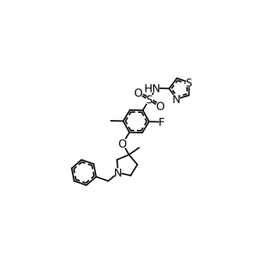 Cc1cc(S(=O)(=O)Nc2cscn2)c(F)cc1OC1(C)CCN(Cc2ccccc2)C1